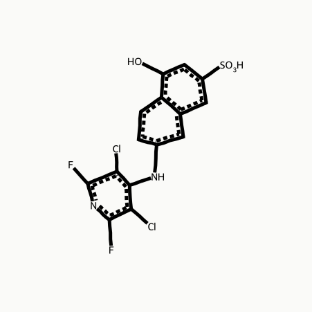 O=S(=O)(O)c1cc(O)c2ccc(Nc3c(Cl)c(F)nc(F)c3Cl)cc2c1